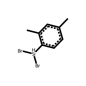 Cc1ccc([SiH](Br)Br)c(C)c1